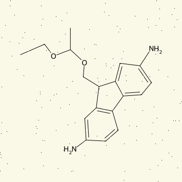 CCOC(C)OCC1c2cc(N)ccc2-c2ccc(N)cc21